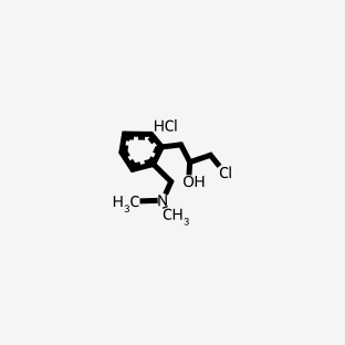 CN(C)Cc1ccccc1CC(O)CCl.Cl